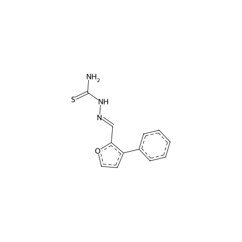 NC(=S)NN=Cc1occc1-c1ccccc1